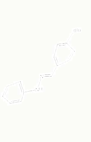 CC(C)(C)c1ccc(C=NNc2ccccc2)cc1